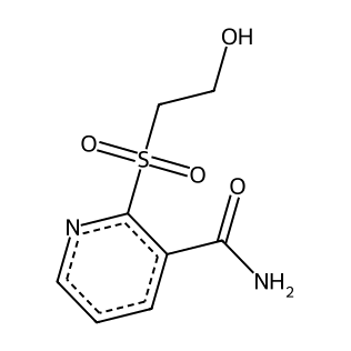 NC(=O)c1cccnc1S(=O)(=O)CCO